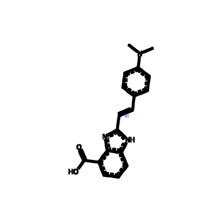 CN(C)c1ccc(/C=C/c2nc3c(C(=O)O)cccc3[nH]2)cc1